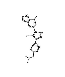 Cc1cc(-c2[nH]nc(-c3ccc(CN(C)C)cn3)c2C(C)C)cn2ncnc12